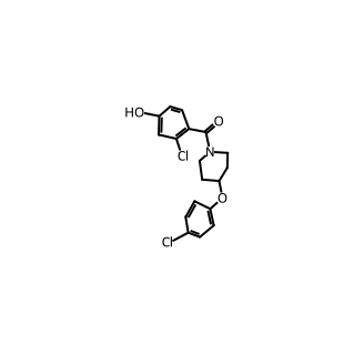 O=C(c1ccc(O)cc1Cl)N1CCC(Oc2ccc(Cl)cc2)CC1